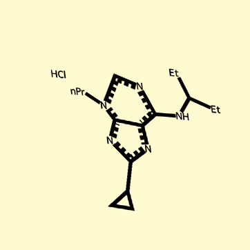 CCCn1cnc(NC(CC)CC)c2nc(C3CC3)nc1-2.Cl